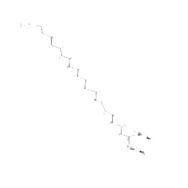 CCCCCCCCCCCCCCCCCCCCCC(N=C=S)N=C=S